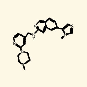 CN1CCN(c2cc(CNc3cc4cc(-c5cncn5C)ccc4cn3)ccn2)CC1